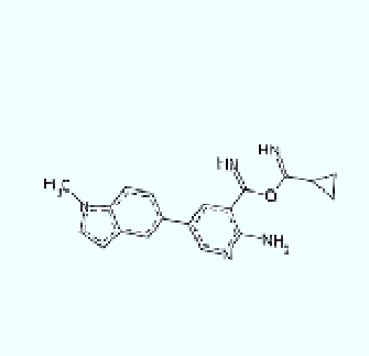 Cn1ccc2cc(-c3cnc(N)c(C(=N)OC(=N)C4CC4)c3)ccc21